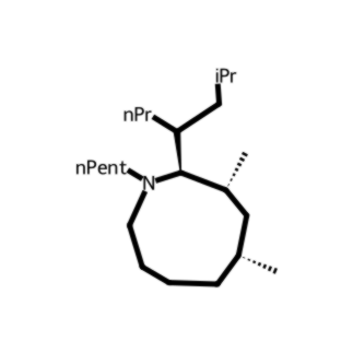 CCCCCN1CCCC[C@@H](C)C[C@@H](C)[C@@H]1C(CCC)CC(C)C